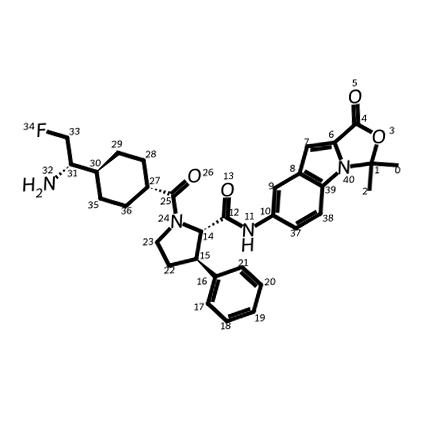 CC1(C)OC(=O)c2cc3cc(NC(=O)[C@@H]4[C@@H](c5ccccc5)CCN4C(=O)[C@H]4CC[C@H]([C@H](N)CF)CC4)ccc3n21